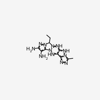 CCC1n2nc(N)c(N)c2-n2[nH]c3c([nH]n21)[nH]n1c(C)nnc31